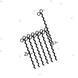 CCCCCCCCCCCCCCCCCC(=O)[O-].CCCCCCCCCCCCCCCCCC(=O)[O-].CCCCCCCCCCCCCCCCCC(=O)[O-].CCCCCCCCCCCCCCCCCC(=O)[O-].CCCCCCCCCCCCCCCCCC(=O)[O-].CCCCCCCCCCCCCCCCCC(=O)[O-].CCCCCCCCCCCCCCCCCC(=O)[O-].[B+3].[Zr+4]